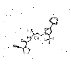 CC(C)(CCn1nc(-c2ccccc2)cc1C(F)(F)F)NCC(=O)N1CCCC1C#N